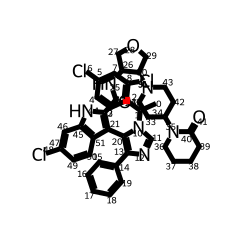 CC(c1ccc(Cl)cc1Cl)n1cnc(-c2ccccc2)c1-c1c(C(=O)NC2COC[C@H]2N2CCC(N3CCCCC3=O)CC2)[nH]c2cc(Cl)ccc12